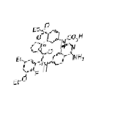 CCOc1cc(CC)cc([C@@H](Nc2ccc3c(N)nccc3c2)C(=O)N2CCC[C@@H]2c2cc(NC(=O)O)ccc2S(=O)(=O)CC)c1F